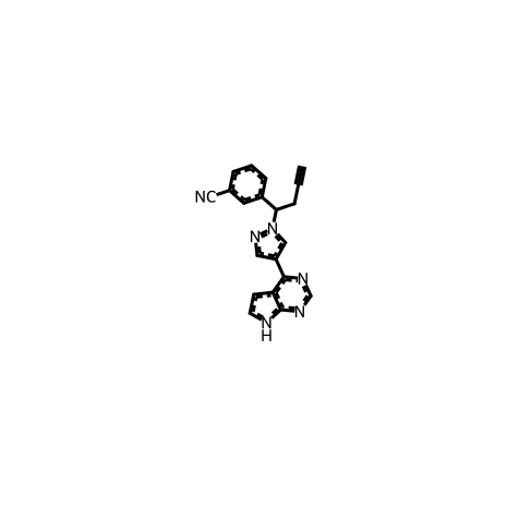 C#CCC(c1cccc(C#N)c1)n1cc(-c2ncnc3[nH]ccc23)cn1